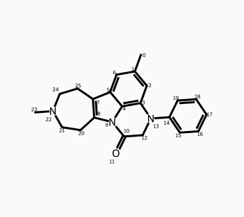 Cc1cc2c3c(c1)c1c(n3C(=O)CN2c2ccccc2)CCN(C)CC1